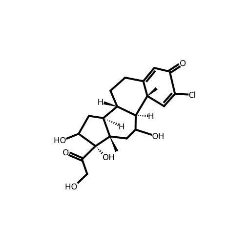 C[C@]12C=C(Cl)C(=O)C=C1CC[C@@H]1[C@@H]2C(O)C[C@@]2(C)[C@H]1CC(O)[C@]2(O)C(=O)CO